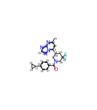 Cc1cc([C@@H]2CN(C(=O)c3ccc(C4CC4)cc3)CC(F)(F)C2)n2ncnc2n1